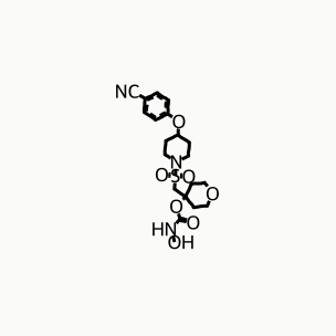 N#Cc1ccc(OC2CCN(S(=O)(=O)CC3(OC(=O)NO)CCOCC3)CC2)cc1